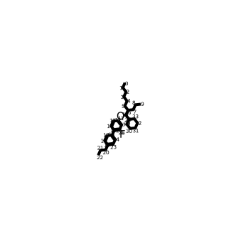 CCCCCCC(CCC)C(Oc1ccc(-c2ccc(CCC)cc2)c(F)c1)C1CCCCC1